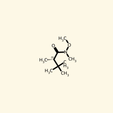 CON(C)C(=O)[C@@H](C)C(C)(C)C